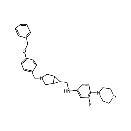 Fc1cc(NCC2C3CN(Cc4ccc(OCc5ccccc5)cc4)CC23)ccc1N1CCOCC1